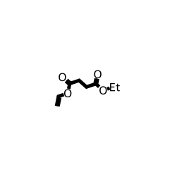 C=COC(=O)CCC(=O)OCC